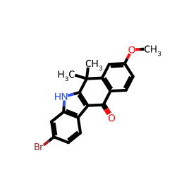 COc1ccc2c(c1)C(C)(C)c1[nH]c3cc(Br)ccc3c1C2=O